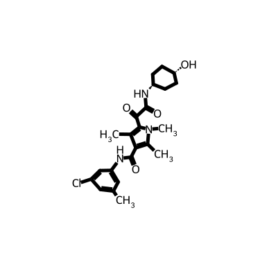 Cc1cc(Cl)cc(NC(=O)c2c(C)c(C(=O)C(=O)N[C@H]3CC[C@@H](O)CC3)n(C)c2C)c1